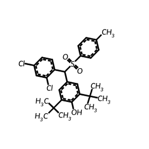 Cc1ccc(S(=O)(=O)C(c2cc(C(C)(C)C)c(O)c(C(C)(C)C)c2)c2ccc(Cl)cc2Cl)cc1